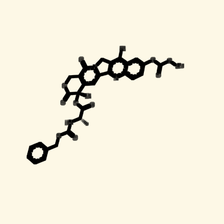 CCc1c2c(nc3ccc(OC(=O)OC(C)(C)C)cc13)-c1cc3c(c(=O)n1C2)COC(=O)[C@@]3(CC)OC(=O)[C@H](C)NC(=O)OCc1ccccc1